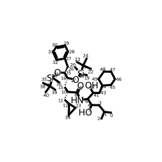 CC(C)CC(O)C(NC(=O)[C@H](CC1CC1)C[C@@H](O[Si](C)(C)C(C)(C)C)[C@H](Cc1ccccc1)O[Si](C)(C)C(C)(C)C)C(O)CC1CCCCC1